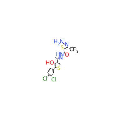 C/C(=N\NC(=O)c1sc(N)nc1C(F)(F)F)c1csc(-c2ccc(Cl)c(Cl)c2)c1O